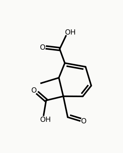 CC1C(C(=O)O)=CC=CC1(C=O)C(=O)O